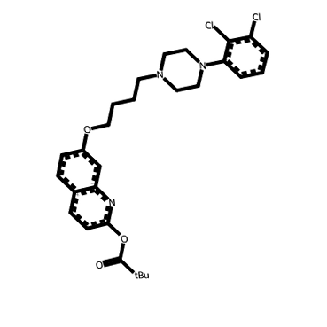 CC(C)(C)C(=O)Oc1ccc2ccc(OCCCCN3CCN(c4cccc(Cl)c4Cl)CC3)cc2n1